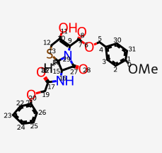 COc1ccc(COC(=O)C2=C(O)CS[C@@H]3C(NC(=O)COc4ccccc4)C(=O)N23)cc1